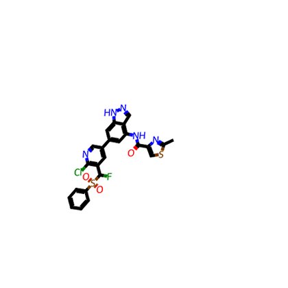 Cc1nc(C(=O)Nc2cc(-c3cnc(Cl)c(C(F)S(=O)(=O)c4ccccc4)c3)cc3[nH]ncc23)cs1